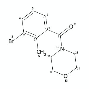 Cc1c(Br)cccc1C(=O)N1CCOCC1